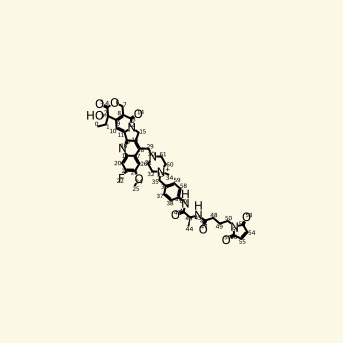 CC[C@@]1(O)C(=O)OCc2c1cc1n(c2=O)Cc2c-1nc1cc(F)c(OC)cc1c2CN1CC[N+](C)(Cc2ccc(NC(=O)[C@H](C)NC(=O)CCCN3C(=O)C=CC3=O)cc2)CC1